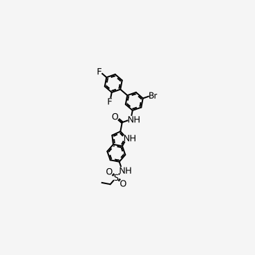 CCS(=O)(=O)Nc1ccc2cc(C(=O)Nc3cc(Br)cc(-c4ccc(F)cc4F)c3)[nH]c2c1